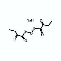 CCC(=O)C(=O)SOSC(=O)C(=O)CC.[NaH]